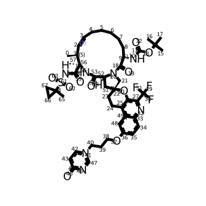 C[C@H]1/C=C\CCCCC[C@H](NC(=O)OC(C)(C)C)C(=O)N2C[C@@]3(CCc4c(c(C(F)(F)F)nc5ccc(OCCCn6ccc(=O)nc6)cc45)O3)C[C@H]2C(=O)N[C@@]1(C)C(=O)NS(=O)(=O)C1(C)CC1